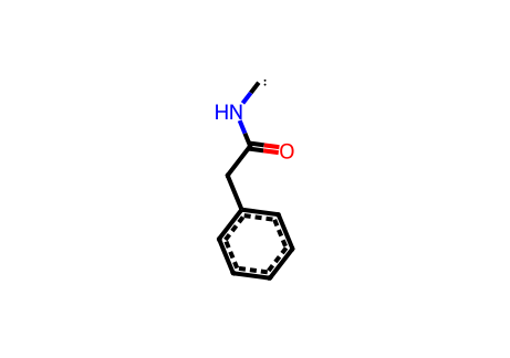 [CH]NC(=O)Cc1ccccc1